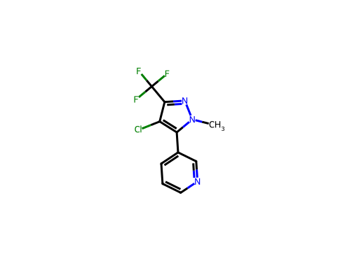 Cn1nc(C(F)(F)F)c(Cl)c1-c1cccnc1